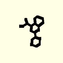 O=C(O)c1cc(-c2cnccn2)nc2ccccc12